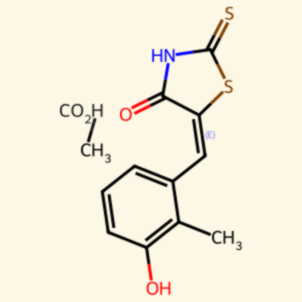 CC(=O)O.Cc1c(O)cccc1/C=C1/SC(=S)NC1=O